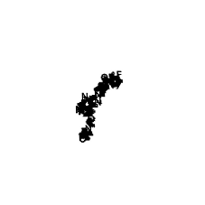 Cc1c(F)cccc1C(=O)N1CC2CN(c3ccc(-c4cc(OCCN5CC6(COC6)C5)cn5ncc(C#N)c45)cn3)CC2C1